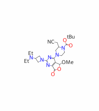 CCN(CC)C1CN(c2nc3c(c(N4CCN(C(=O)OC(C)(C)C)C(CC#N)C4)n2)C(OC)OC3=O)C1